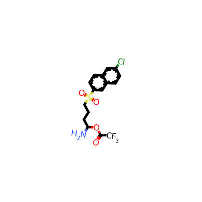 NC(CCCS(=O)(=O)c1ccc2cc(Cl)ccc2c1)OC(=O)C(F)(F)F